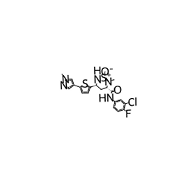 CN1[C@H](C(=O)Nc2ccc(F)c(Cl)c2)C[C@@H](c2ccc(-c3cnn(C)c3)s2)N[S+]1[O-]